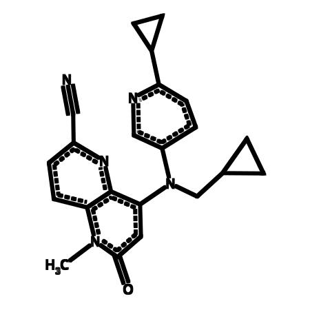 Cn1c(=O)cc(N(CC2CC2)c2ccc(C3CC3)nc2)c2nc(C#N)ccc21